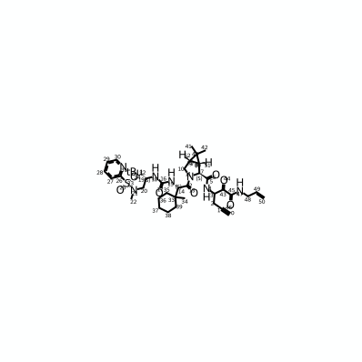 C#CCC(NC(=O)[C@@H]1[C@@H]2[C@H](CN1C(=O)[C@@H](NC(=O)N[C@H](CN(C)S(=O)(=O)c1ccccn1)C(C)(C)C)C1(C)CCCCC1)C2(C)C)C(=O)C(=O)NCC=C